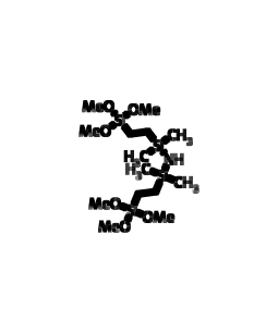 CO[Si](CC[Si](C)(C)N[Si](C)(C)CC[Si](OC)(OC)OC)(OC)OC